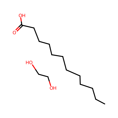 CCCCCCCCCCCC(=O)O.OCCO